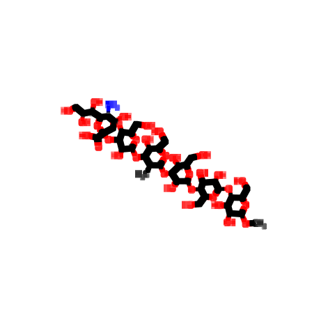 CO[C@@H]1OC(CO)[C@@H](O[C@@H]2OC(CO)[C@H](O[C@H]3OC(CO)[C@H](O)[C@H](O[C@@H]4OC(CO)[C@H](O)C(O[C@@H]5OC(CO)[C@H](O)C(O[C@]6(C(=O)O)C[C@@H](O)[C@@H](N)C([C@H](O)[C@H](O)CO)O6)[C@@H]5O)[C@@H]4C)C3O)C(O)[C@@H]2O)C(O)[C@@H]1O